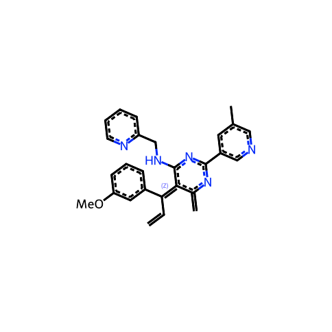 C=C/C(c1cccc(OC)c1)=c1/c(NCc2ccccn2)nc(-c2cncc(C)c2)nc1=C